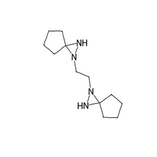 C1CCC2(C1)NN2CCN1NC12CCCC2